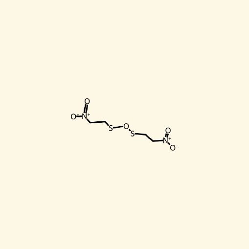 O=[N+]([O-])CCSOSCC[N+](=O)[O-]